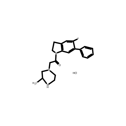 CC1CN(CC(=O)N2CCc3cc(F)c(-c4ccccc4)cc32)CCN1.Cl